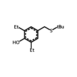 CCc1cc(CSC(C)(C)C)cc(CC)c1O